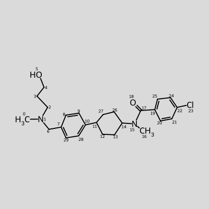 CN(CCCO)Cc1ccc(C2CCC(N(C)C(=O)c3ccc(Cl)cc3)CC2)cc1